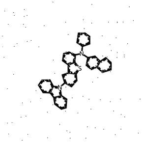 c1ccc(N(c2ccc3ccccc3c2)c2cccc3c2sc2ccc(-n4c5ccccc5c5ccccc54)cc23)cc1